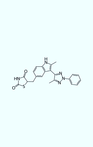 Cc1nn(-c2ccccc2)nc1-c1c(C)[nH]c2ccc(CC3SC(=O)NC3=O)cc12